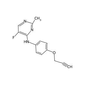 C#CCOc1ccc(Nc2nc(C)ncc2F)cc1